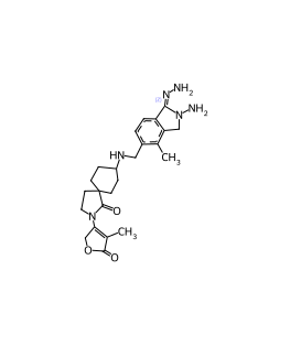 CC1=C(N2CCC3(CCC(NCc4ccc5c(c4C)CN(N)/C5=N\N)CC3)C2=O)COC1=O